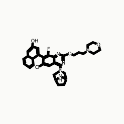 OC1=CC2C=CC=CC2C(c2c(Cl)cc3c(N4CC5CCC(C4)N5)nc(OCCCN4CCOCC4)nc3c2F)=C1